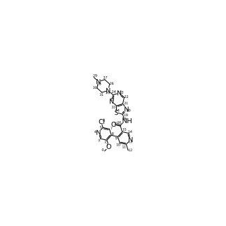 COc1cnc(Cl)cc1-c1cc(C)ncc1C(=O)Nc1nc2cnc(N3CCN(C)CC3)nc2s1